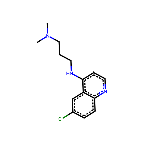 CN(C)CCCNc1[c]cnc2ccc(Cl)cc12